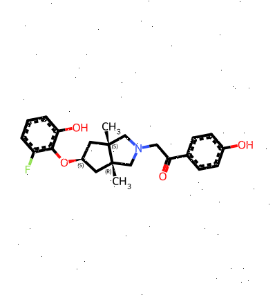 C[C@@]12C[C@@H](Oc3c(O)cccc3F)C[C@]1(C)CN(CC(=O)c1ccc(O)cc1)C2